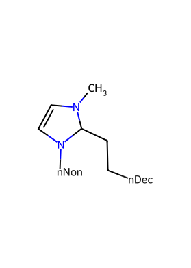 CCCCCCCCCCCCC1N(C)C=CN1CCCCCCCCC